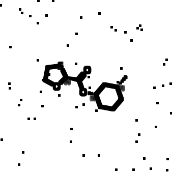 C[C@@H]1CCC[C@H](OC(=O)[C@H]2OCCS2)C1